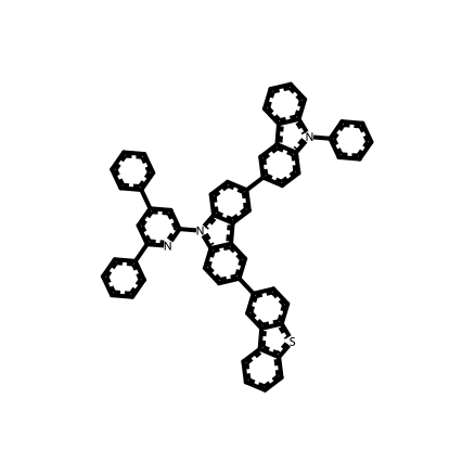 c1ccc(-c2cc(-c3ccccc3)nc(-n3c4ccc(-c5ccc6sc7ccccc7c6c5)cc4c4cc(-c5ccc6c(c5)c5ccccc5n6-c5ccccc5)ccc43)c2)cc1